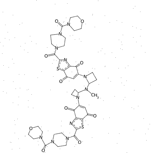 CN(C1CCN1C1=CC(=O)c2sc(C(=O)N3CCN(C(=O)N4CCOCC4)CC3)nc2C1=O)C1CCN1C1=CC(=O)c2sc(C(=O)N3CCN(C(=O)N4CCOCC4)CC3)nc2C1=O